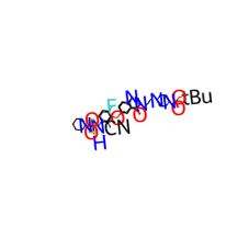 CC(C)(C)OC(=O)N1CCN(CCn2cnc3ccc(Oc4c(F)ccc(NS(=O)(=O)N5CCCCC5)c4C#N)cc3c2=O)CC1